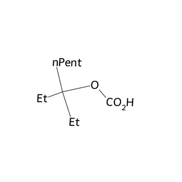 CCCCCC(CC)(CC)OC(=O)O